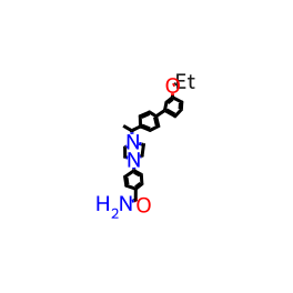 CCOc1cccc(-c2ccc(C(C)N3CCN(c4ccc(C(N)=O)cc4)CC3)cc2)c1